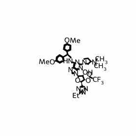 CCn1nnc([C@H]2O[C@@H](n3cnc4c(NCC(c5ccc(OC)cc5)c5ccc(OC)cc5)nc(N5CC[C@@H](N(C)C)C5)nc43)[C@H](O)[C@@H]2OC(=O)C(F)(F)F)n1